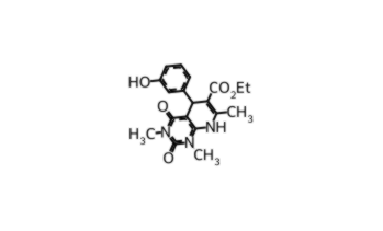 CCOC(=O)C1=C(C)Nc2c(c(=O)n(C)c(=O)n2C)C1c1cccc(O)c1